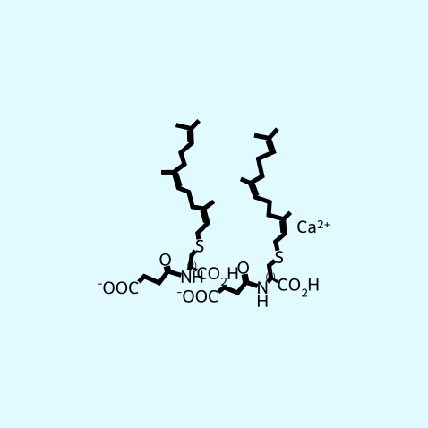 CC(C)=CCCC(C)=CCCC(C)=CCSC[C@H](NC(=O)CCC(=O)[O-])C(=O)O.CC(C)=CCCC(C)=CCCC(C)=CCSC[C@H](NC(=O)CCC(=O)[O-])C(=O)O.[Ca+2]